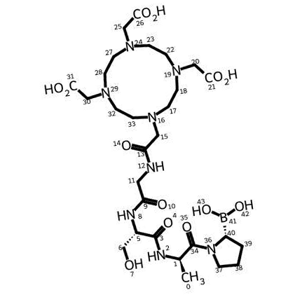 C[C@@H](NC(=O)[C@H](CO)NC(=O)CNC(=O)CN1CCN(CC(=O)O)CCN(CC(=O)O)CCN(CC(=O)O)CC1)C(=O)N1CCC[C@H]1B(O)O